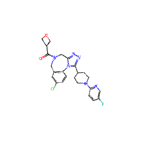 O=C(C1COC1)N1Cc2cc(Cl)ccc2-n2c(nnc2C2CCN(c3ccc(F)cn3)CC2)C1